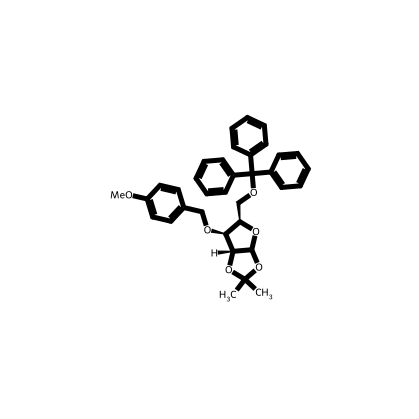 COc1ccc(CO[C@H]2[C@@H](COC(c3ccccc3)(c3ccccc3)c3ccccc3)OC3OC(C)(C)O[C@@H]32)cc1